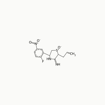 C=CCC1C(=N)NC(c2cc([N+](=O)[O-])ccc2F)C[S+]1[O-]